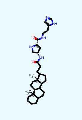 C[C@]12CCCCC1CCC1C2CC[C@]2(C)C(CCC(=O)N[C@@H]3CN[C@H](C(=O)NCCc4cnc[nH]4)C3)CCC12